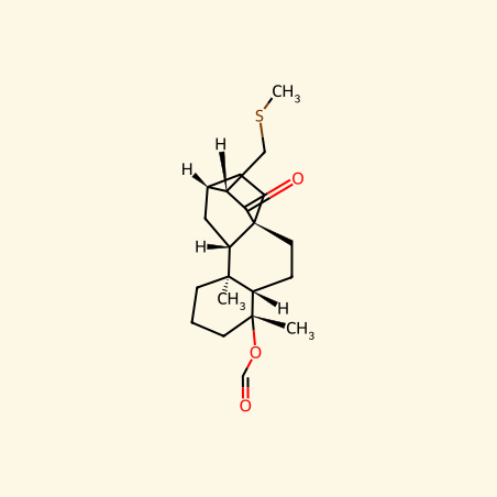 CSC[C@@H]1C(=O)[C@]23CC[C@H]1C[C@H]2[C@]1(C)CCC[C@@](C)(OC=O)[C@H]1CC3